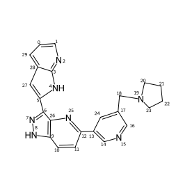 c1cnc2[nH]c(-c3n[nH]c4ccc(-c5cncc(CN6CCCC6)c5)nc34)cc2c1